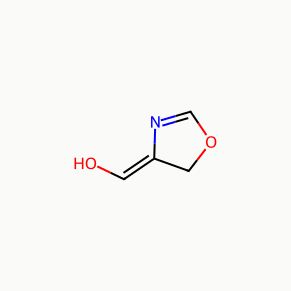 OC=C1COC=N1